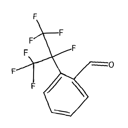 O=Cc1ccccc1C(F)(C(F)(F)F)C(F)(F)F